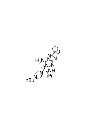 CCCCN1CCN(C(=O)[C@@H](Nc2nc(N)n3nc(-c4ccco4)nc3n2)C(C)C)CC1